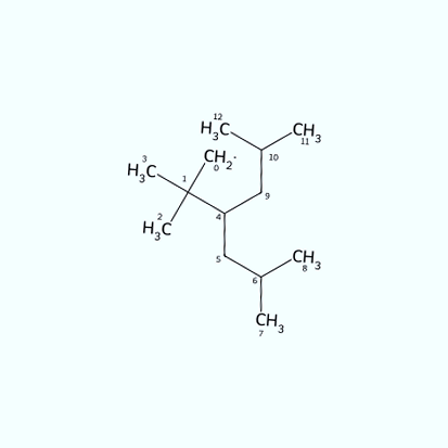 [CH2]C(C)(C)C(CC(C)C)CC(C)C